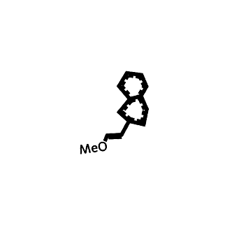 COC=Cc1ccc2ccccc2c1